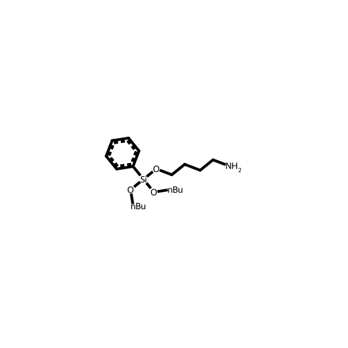 CCCCO[Si](OCCCC)(OCCCCN)c1ccccc1